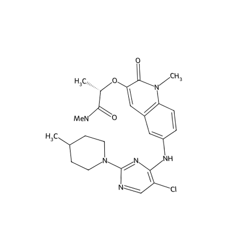 CNC(=O)[C@H](C)Oc1cc2cc(Nc3nc(N4CCC(C)CC4)ncc3Cl)ccc2n(C)c1=O